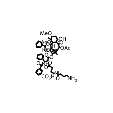 CO[C@@H]1C[C@H](O)[C@@]2(C)C(=O)[C@H](OC(C)=O)C3=C(C)C(OC(=O)[C@H](OC(=O)CCC(NC(=O)CCCN)C(=O)O)[C@@H](NC(=O)c4ccccc4)c4ccccc4)C[C@@](O)([C@@H](OC(=O)c4ccccc4)[C@@H]2[C@@]1(C)OC(C)=O)C3(C)C